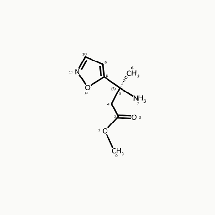 COC(=O)C[C@](C)(N)c1ccno1